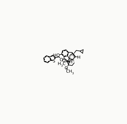 COC12CC[C@@]3(C[C@]1(C)COCc1cc4ccccc4s1)[C@H]1Cc4ccc(O)c5c4[C@@]3(CCN1CC1CC1)[C@H]2O5